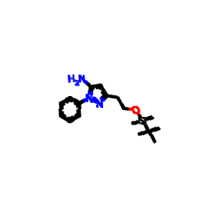 CC(C)(C)[Si](C)(C)OCCc1cc(N)n(-c2ccccc2)n1